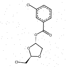 O=C(O[C@@H]1CO[C@@H](CCl)O1)c1cccc(Cl)c1